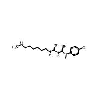 CNCCCCCCNC(=N)NC(=N)Nc1ccc(Cl)cc1